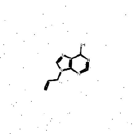 C=CCn1cnc2c1N=C=NC2S